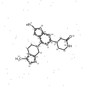 CCCc1cc2c(N3CCn4c(C)nnc4C3)nc(N3CCNC(=O)C3)nc2s1